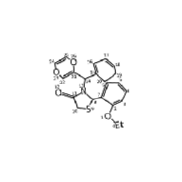 CCOc1ccccc1C1SCC(=O)N1C(C1=CC=CCC1)C1=COC=CO1